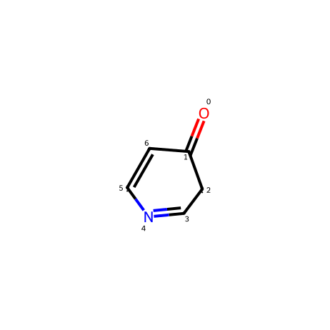 O=C1[CH]C=N[C]=C1